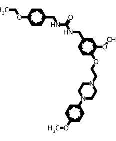 CCOc1ccc(CNC(=O)NCc2ccc(OCCN3CCN(c4ccc(OC)cc4)CC3)c(OC)c2)cc1